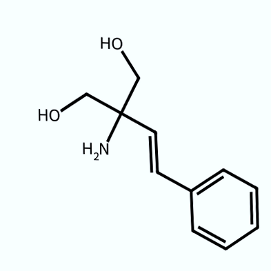 NC(/C=C/c1ccccc1)(CO)CO